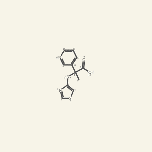 CC(Nc1cscn1)(C(=O)O)c1cccnc1